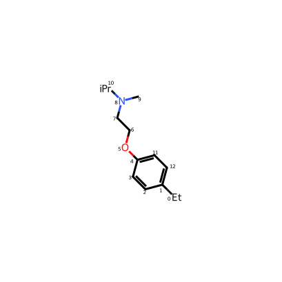 CCc1ccc(OCCN(C)C(C)C)cc1